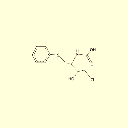 O=C(O)N[C@@H](CSc1ccccc1)[C@@H](O)CCl